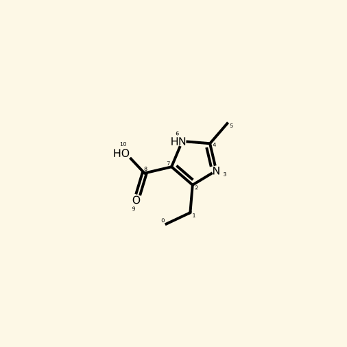 CCc1nc(C)[nH]c1C(=O)O